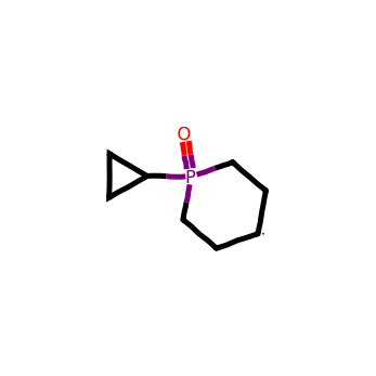 O=P1(C2CC2)CC[CH]CC1